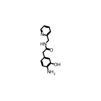 Nc1ccc(CC(=O)NCc2ccccn2)cc1O